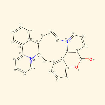 O=c1oc2cccc3c2c2c1ccc[n+]2/C=C/CC1c2ccccc2-c2cccc[n+]2C1C3